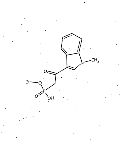 CCOP(=O)(O)CC(=O)c1cn(C)c2ccccc12